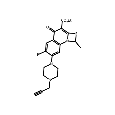 C#CCN1CCN(c2cc3c(cc2F)c(=O)c(C(=O)OCC)c2n3C(C)S2)CC1